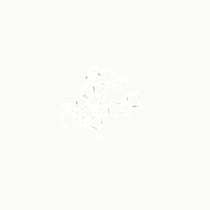 CCCCc1cc2c3c(c1)C1(C)CCCCC1(C)N3c1cc(C)cc3c1B2N(c1cc2c(cc1C)C(C)(C)CCC2(C)C)c1cc2c(cc1-3)sc1ccccc12